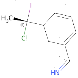 C[C@@](Cl)(I)C1C=CC=C(C=N)C1